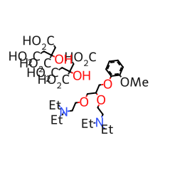 CCN(CC)CCOCC(COc1ccccc1OC)OCCN(CC)CC.O=C(O)CC(O)(CC(=O)O)C(=O)O.O=C(O)CC(O)(CC(=O)O)C(=O)O